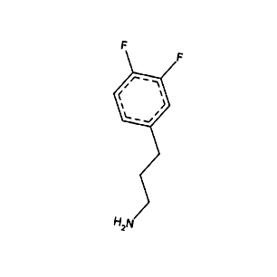 NCCCc1ccc(F)c(F)c1